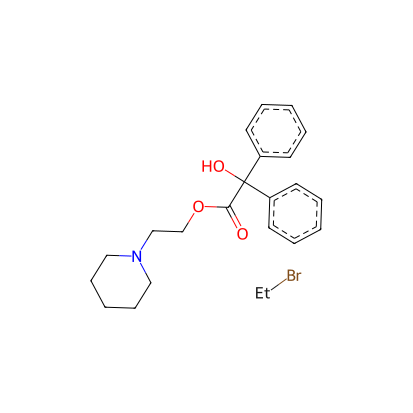 CCBr.O=C(OCCN1CCCCC1)C(O)(c1ccccc1)c1ccccc1